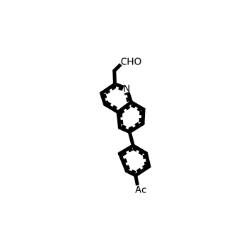 CC(=O)c1ccc(-c2ccc3nc(CC=O)ccc3c2)cc1